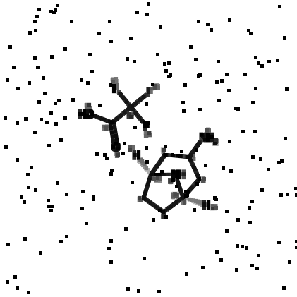 NC1C[C@H]2CC[C@@H](C1)N2.O=C(O)C(F)(F)F